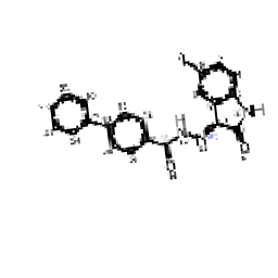 O=C1Nc2ccc(I)cc2/C1=N\NC(=O)c1ccc(-c2ccccc2)cc1